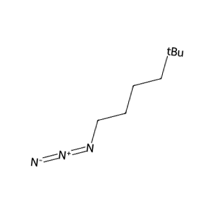 CC(C)(C)CCCCN=[N+]=[N-]